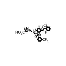 C/C(=C\c1ccc2c(c1)N(S(=O)(=O)c1cccc(C(F)(F)F)c1)C[C@H](CCn1cc(C(=O)O)nn1)O2)c1c(F)cccc1Cl